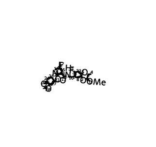 COC(=O)C(C)Oc1ccc(CNC(=O)c2cc(F)cnc2Oc2ccc3c(c2)OCO3)c(F)c1